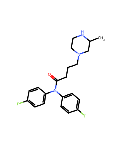 CC1CN(CCCC(=O)N(c2ccc(F)cc2)c2ccc(F)cc2)CCN1